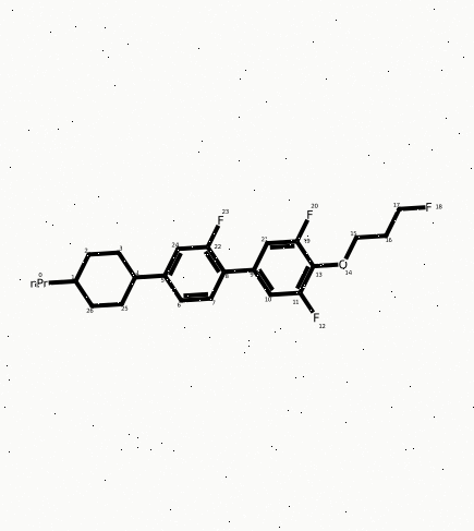 CCCC1CCC(c2ccc(-c3cc(F)c(OCCCF)c(F)c3)c(F)c2)CC1